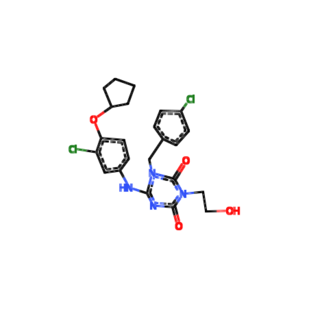 O=c1nc(Nc2ccc(OC3CCCC3)c(Cl)c2)n(Cc2ccc(Cl)cc2)c(=O)n1CCO